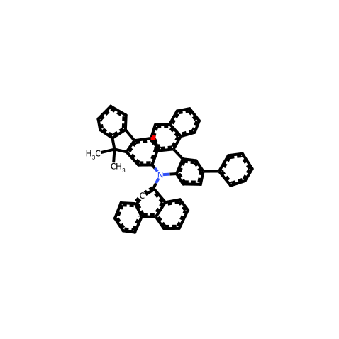 CC1(C)c2ccccc2-c2ccc(N(c3ccc(-c4ccccc4)cc3-c3cccc4ccccc34)c3cc4ccccc4c4ccccc34)cc21